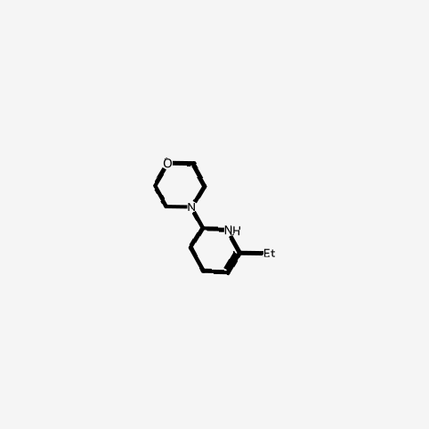 CCC1=CCCC(N2CCOCC2)N1